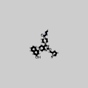 C/C=C/C(=O)N1CCN(c2nc(OCC3CCCN3C)nc3c2CCN(c2cc(O)cc4ccccc24)C3)CC1